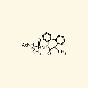 CC(=O)N[C@@H](C)C(=O)NN1C(=O)C(C)c2ccccc2-c2ccccc21